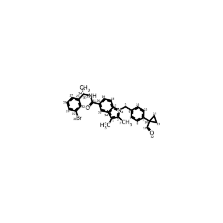 Cc1c(C)n(Cc2ccc(C3(C=O)CC3)cc2)c2ccc(C(=O)N[C@@H](C)c3cccc(Br)c3)cc12